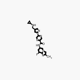 Cc1cn2cc(NC(=O)c3cnc(-n4cc(CNC5CC5)cn4)cn3)cc(F)c2n1